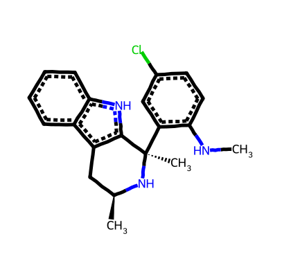 CNc1ccc(Cl)cc1[C@@]1(C)N[C@@H](C)Cc2c1[nH]c1ccccc21